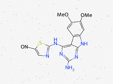 COc1cc2[nH]c3nc(N)nc(Nc4ncc(N=O)s4)c3c2cc1OC